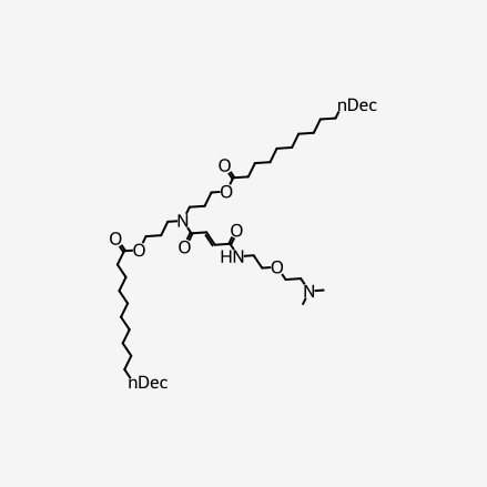 CCCCCCCCCCCCCCCCCCCC(=O)OCCCN(CCCOC(=O)CCCCCCCCCCCCCCCCCCC)C(=O)C=CC(=O)NCCOCCN(C)C